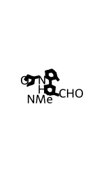 CNc1ccc(-c2c(C)cccc2NCc2ccoc2)cc1CC=O